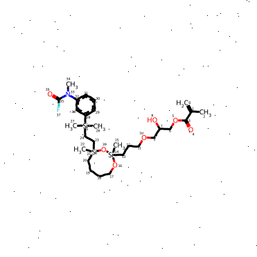 C=C(C)C(=O)OCC(O)COCCC[Si]1(C)OCCCC[Si](C)(CC[Si](C)(C)c2cccc(N(C)C(=O)F)c2)O1